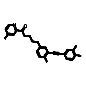 Cc1ccnc(C(=O)CCCCc2ccc(C)c(C#Cc3ccc(C)c(C)c3)c2)c1